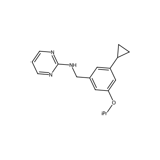 CC(C)Oc1cc(CNc2nc[c]cn2)cc(C2CC2)c1